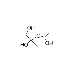 CC(O)OC(C)(O)C(C)O